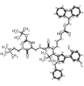 CC(C)(C)OC(=O)NC(CSCC(=O)N(CCCNC(=O)OCC1c2ccccc2-c2ccccc21)C(c1cc(-c2cc(F)ccc2F)cn1Cc1ccccc1)C(C)(C)C)C(=O)OCC[Si](C)(C)C